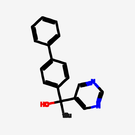 CC(C)(C)C(O)(c1ccc(-c2ccccc2)cc1)c1cncnc1